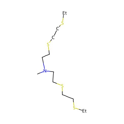 CCSCCSCCN(C)CCSCCSCC